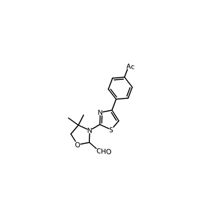 CC(=O)c1ccc(-c2csc(N3C(C=O)OCC3(C)C)n2)cc1